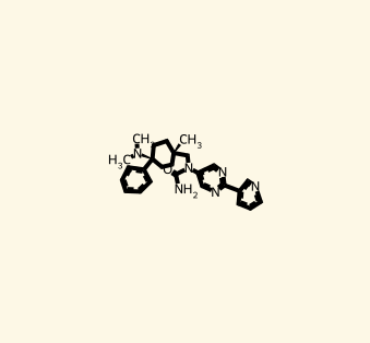 CN(C)[C@]1(c2ccccc2)CC[C@@](C)(CN(C(N)=O)c2cnc(-c3cccnc3)nc2)CC1